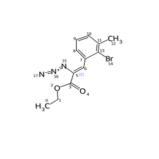 CCOC(=O)/C(=C/c1cccc(C)c1Br)N=[N+]=[N-]